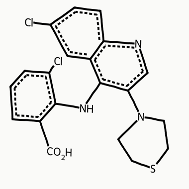 O=C(O)c1cccc(Cl)c1Nc1c(N2CCSCC2)cnc2ccc(Cl)cc12